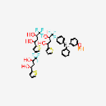 O=P.OC(CC(O)C(F)(F)F)c1cccs1.OC(CC(O)C(F)(F)F)c1cccs1.OC(CC(O)C(F)(F)F)c1cccs1.c1cc[c]([Eu]([c]2ccccc2)[c]2ccccc2)cc1